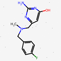 CN(Cc1ccc(F)cc1)Cc1cc(O)nc(N)n1